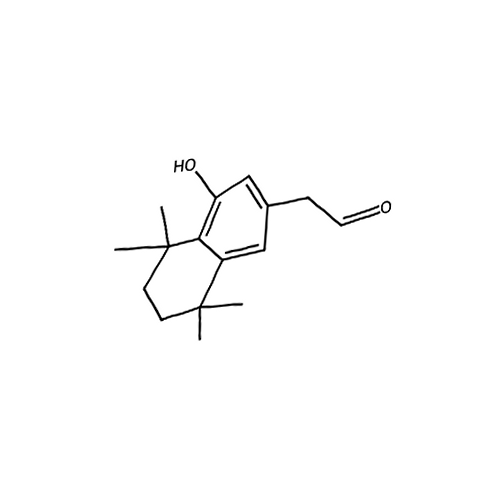 CC1(C)CCC(C)(C)c2c(O)cc(CC=O)cc21